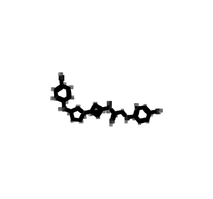 O=C(COc1ccc(Cl)cn1)NC12CC(N3CCC(Oc4ccc(Cl)cn4)C3)(C1)C2